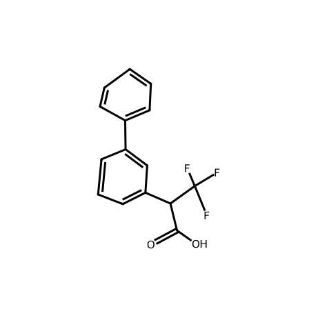 O=C(O)C(c1cccc(-c2ccccc2)c1)C(F)(F)F